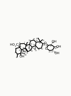 CC1CC[C@]2(C(=O)O)CCC3(C)C(=CCC4[C@@]5(C)CC[C@H](O[C@@H]6OC[C@@H](O)[C@H](O)[C@H]6O)C(C)(C)C5CC[C@]43C)[C@@H]2[C@]1(C)O